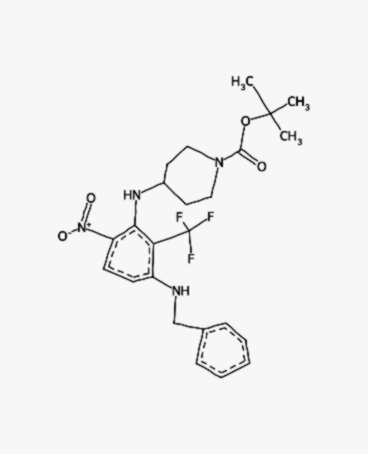 CC(C)(C)OC(=O)N1CCC(Nc2c([N+](=O)[O-])ccc(NCc3ccccc3)c2C(F)(F)F)CC1